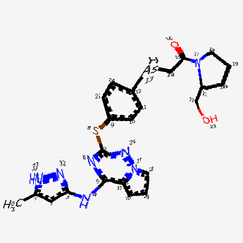 Cc1cc(Nc2nc(Sc3ccc([AsH]CC(=O)N4CCCC4CO)cc3)nn3cccc23)n[nH]1